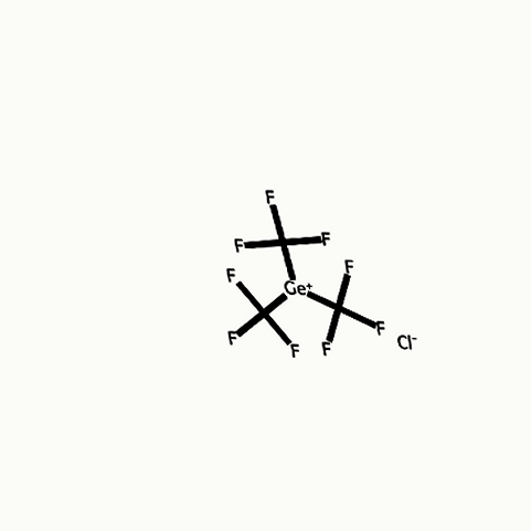 F[C](F)(F)[Ge+]([C](F)(F)F)[C](F)(F)F.[Cl-]